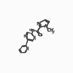 Cn1ccnc1C(=O)Nc1cnc(-c2ccccn2)cn1